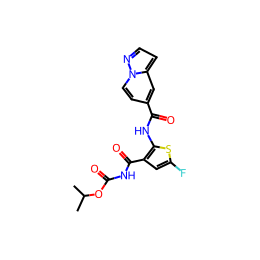 CC(C)OC(=O)NC(=O)c1cc(F)sc1NC(=O)c1ccn2nccc2c1